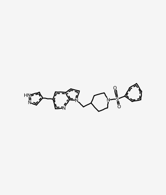 O=S(=O)(c1ccccc1)N1CCC(Cn2ccc3cc(-c4cn[nH]c4)cnc32)CC1